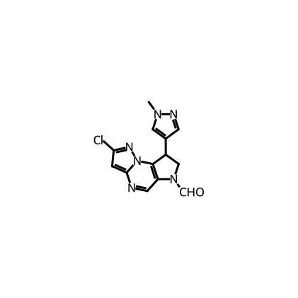 Cn1cc(C2CN(C=O)c3cnc4cc(Cl)nn4c32)cn1